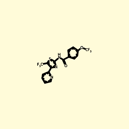 O=C(Nc1nc(-c2ccccn2)c(C(F)(F)F)s1)c1ccc(OC(F)(F)F)cc1